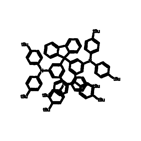 CC(C)(C)c1ccc(N(c2ccc(C(C)(C)C)cc2)c2cc(N(c3ccc(C(C)(C)C)cc3)c3ccc(C(C)(C)C)cc3)cc(C3(c4cc(N(c5ccc(C(C)(C)C)cc5)c5ccc(C(C)(C)C)cc5)cc(N(c5ccc(C(C)(C)C)cc5)c5ccc(C(C)(C)C)cc5)c4)c4ccccc4-c4ccccc43)c2)cc1